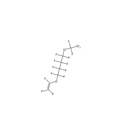 FC(F)=C(F)OC(F)(F)C(F)(F)C(F)(F)C(F)(F)OC(F)(F)C(F)(F)F